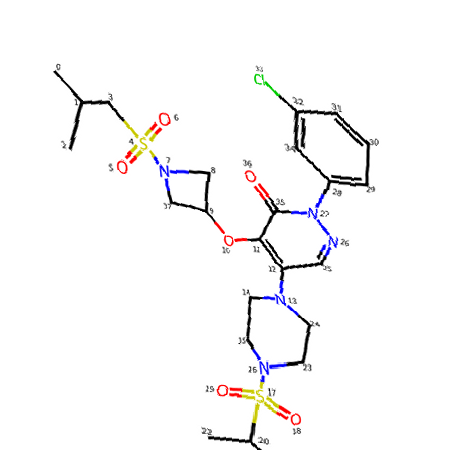 CC(C)CS(=O)(=O)N1CC(Oc2c(N3CCN(S(=O)(=O)C(C)C)CC3)cnn(-c3cccc(Cl)c3)c2=O)C1